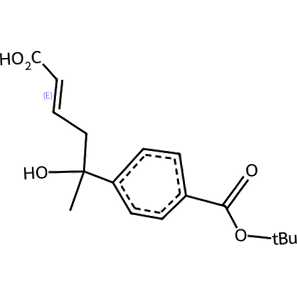 CC(C)(C)OC(=O)c1ccc(C(C)(O)C/C=C/C(=O)O)cc1